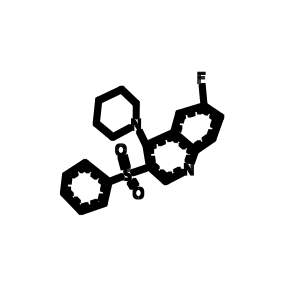 O=S(=O)(c1ccccc1)c1cnc2ccc(F)cc2c1N1CCCCC1